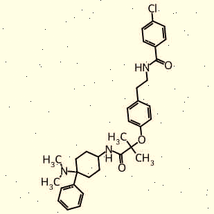 CN(C)C1(c2ccccc2)CCC(NC(=O)C(C)(C)Oc2ccc(CCNC(=O)c3ccc(Cl)cc3)cc2)CC1